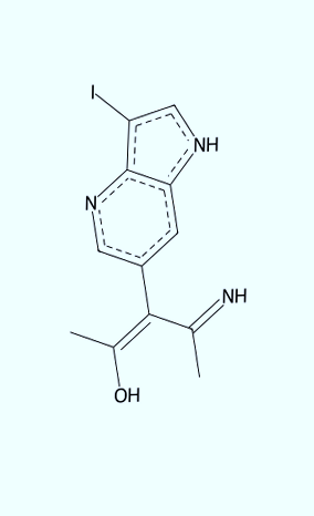 CC(=N)/C(=C(/C)O)c1cnc2c(I)c[nH]c2c1